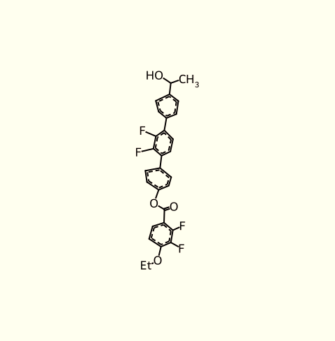 CCOc1ccc(C(=O)Oc2ccc(-c3ccc(-c4ccc(C(C)O)cc4)c(F)c3F)cc2)c(F)c1F